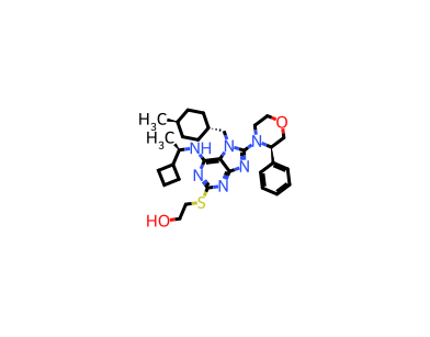 C[C@@H](Nc1nc(SCCO)nc2nc(N3CCOC[C@H]3c3ccccc3)n(C[C@H]3CC[C@H](C)CC3)c12)C1CCC1